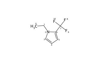 CCn1cccc1C(F)(F)F